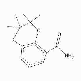 CC1(C)Cc2cccc(C(N)=O)c2OC1(C)C